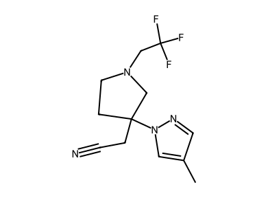 Cc1cnn(C2(CC#N)CCN(CC(F)(F)F)C2)c1